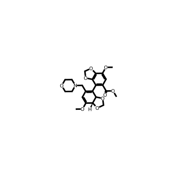 COC(=O)c1cc(OC)c2c(c1C1=C(CN3CCOCC3)C=C(OC)[C@H]3OCOC13)OCO2